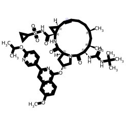 COc1ccc2c(O[C@@H]3C[C@H]4C(=O)N[C@]5(C(=O)NS(=O)(=O)C6CC6)C[C@H]5/C=C\CC[C@@H](C)C[C@@H](C)[C@H](NC(=O)NC(C)(C)C)C(=O)N4C3)nc(-c3ccc(OC(C)C)nc3)cc2c1